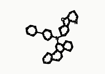 c1ccc(-c2ccc(N(c3ccc4c(c3)oc3cccnc34)c3cc4c5ccccc5ccc4c4ccccc34)cc2)cc1